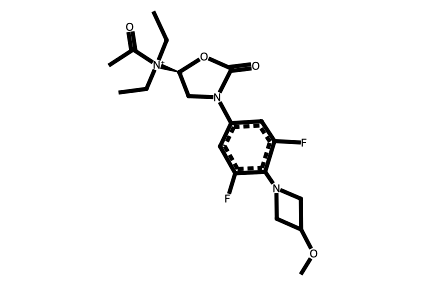 CC[N+](CC)(C(C)=O)[C@@H]1CN(c2cc(F)c(N3CC(OC)C3)c(F)c2)C(=O)O1